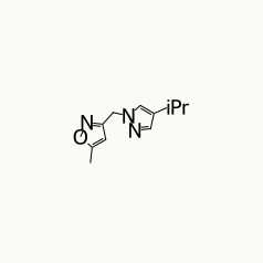 Cc1cc(Cn2cc(C(C)C)cn2)no1